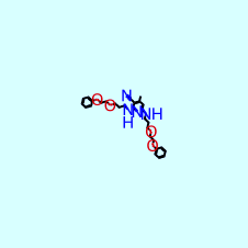 Cc1cc(NCCCOCCOc2ccccc2)nc(NCCCOCCOc2ccccc2)c1C#N